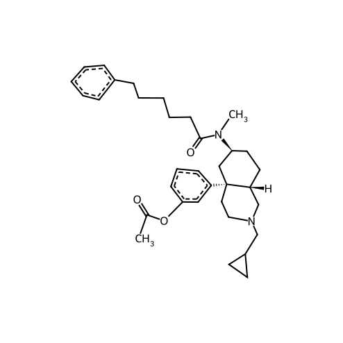 CC(=O)Oc1cccc([C@@]23CCN(CC4CC4)C[C@H]2CC[C@H](N(C)C(=O)CCCCCc2ccccc2)C3)c1